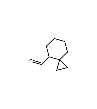 O=CC1CCCCC12CC2